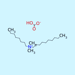 CCCCCCCCCC[N+](C)(C)CCCCCCCC.O=C([O-])O